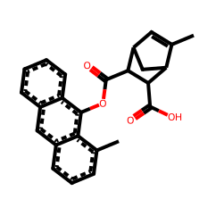 CC1=CC2CC1C(C(=O)O)C2C(=O)Oc1c2ccccc2cc2cccc(C)c12